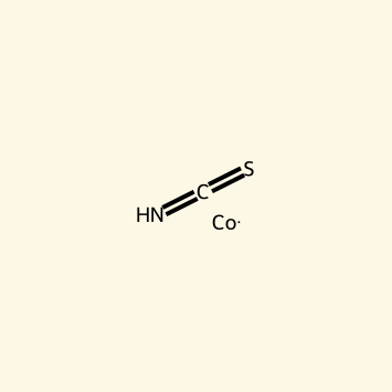 N=C=S.[Co]